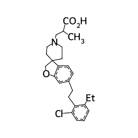 CCc1cccc(Cl)c1CCc1ccc2c(c1)OCC21CCN(CC(C)C(=O)O)CC1